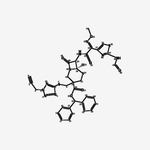 C#CCn1nnc(SCC2(C(=O)OC(c3ccccc3)c3ccccc3)CS[C@@H]3C(NC(=O)C(=NOC)c4csc(NC=O)n4)C(=O)N3C2)n1